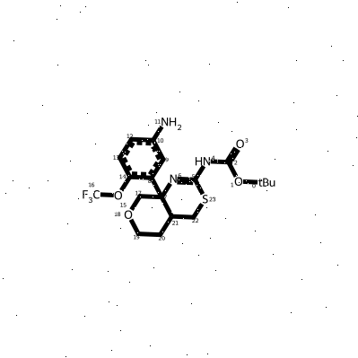 CC(C)(C)OC(=O)NC1=NC2(c3cc(N)ccc3OC(F)(F)F)COCCC2CS1